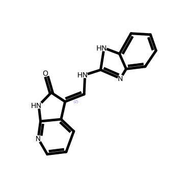 O=C1Nc2ncccc2/C1=C/Nc1nc2ccccc2[nH]1